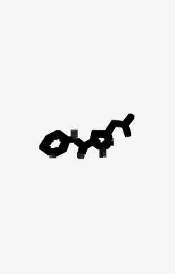 CC(C)Cc1cc(C(=O)Nc2cccnc2)[nH]n1